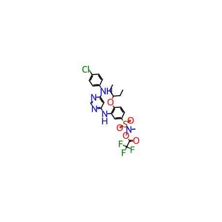 CCC(CC)Oc1ccc(S(=O)(=O)N(C)OC(=O)C(F)(F)F)cc1Nc1cc(Nc2ccc(Cl)cc2)ncn1